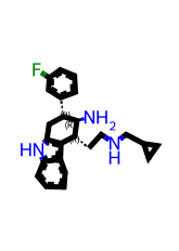 N[C@@H]1[C@@H](c2cccc(F)c2)Cc2[nH]c3ccccc3c2[C@H]1CCNCC1CC1